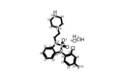 Cl.Cl.O=S1(=O)N(CCN2CCNCC2)c2ccccc2N1c1ccc(F)cc1Cl